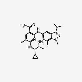 C[C@H](N)[C@H](Nc1nc(Nc2cc(F)c3c(c2)c(N(C)C)nn3C)c(C(N)=O)cc1F)C1CC1